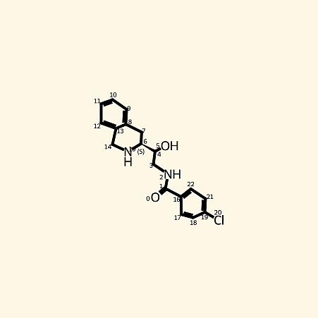 O=C(NCC(O)[C@@H]1Cc2ccccc2CN1)c1ccc(Cl)cc1